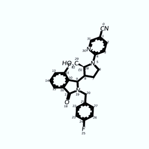 N#Cc1ccc(N2CCC(C3c4c(F)cccc4C(=O)N3Cc3ccc(F)cc3)[C@H]2C(=O)O)nc1